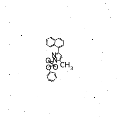 Cc1cc(-c2cccc3ccccc23)nn1S(=O)(=O)Oc1ccccc1